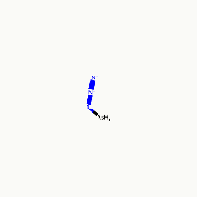 [N-]=[N+]=N[AsH2]